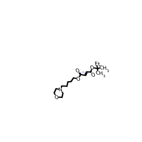 CCC(C)(C)OC(=O)/C=C/C(=O)OCCCCCN1CCOCC1